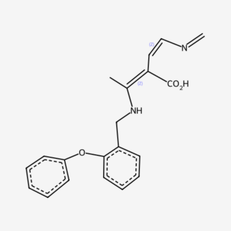 C=N/C=C\C(C(=O)O)=C(/C)NCc1ccccc1Oc1ccccc1